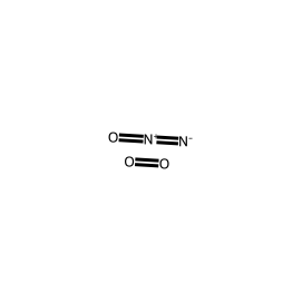 O=O.[N-]=[N+]=O